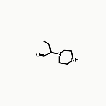 CCC(C=O)N1CCNCC1